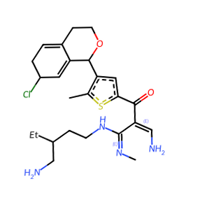 CCC(CN)CCNC(=N/C)/C(=C\N)C(=O)c1cc(C2OCCC3=CCC(Cl)C=C32)c(C)s1